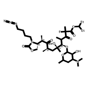 CCC(CC)OC(=O)C(C)(F)C(=O)C(C)[C@@H](OC1OC(C)CC(N(C)C)C1O)[C@](C)(C[C@@H](C)C(=O)[C@H](C)[C@@H]1COC(=O)N1CCCCN=[N+]=[N-])OC